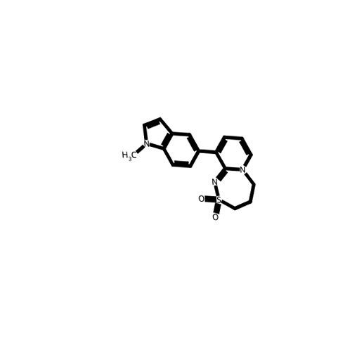 Cn1ccc2cc(C3=CC=CN4CCCS(=O)(=O)N=C34)ccc21